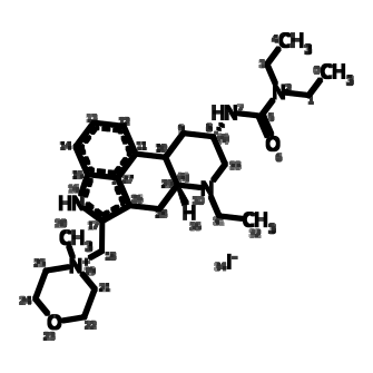 CCN(CC)C(=O)N[C@H]1CC2c3cccc4[nH]c(C[N+]5(C)CCOCC5)c(c34)C[C@H]2N(CC)C1.[I-]